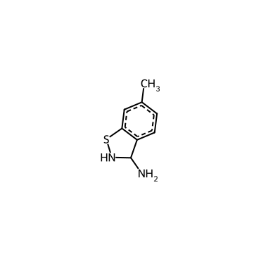 Cc1ccc2c(c1)SNC2N